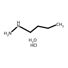 CCCCNN.Cl.O